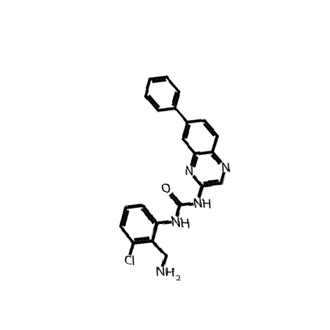 NCc1c(Cl)cccc1NC(=O)Nc1cnc2ccc(-c3ccccc3)cc2n1